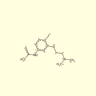 CC(=O)Nc1ccc(I)c(OCCN(C)C)c1